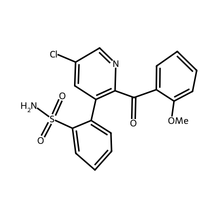 COc1ccccc1C(=O)c1ncc(Cl)cc1-c1ccccc1S(N)(=O)=O